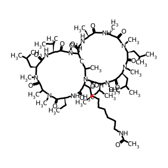 CC[C@@H]1NC(=O)C([C@H](O)[C@H](C)CCCCCCNC(C)=O)N2C(=O)[C@H](C(C)C)N(C)C(=O)[C@H](CC(C)C)N(C)C(=O)[C@H](CC(C)C)N(C)C(=O)[C@@H](C)NC(=O)[C@H](C)NC(=O)[C@H](CC2C)N(C)C(=O)[C@H](C(C)C)NC(=O)[C@H](CC(C)C)N(C)C(=O)C(C)N(C)C1=O